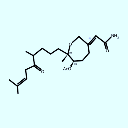 CC(=O)O[C@@H]1CC/C(=C\C(N)=O)CO[C@@]1(C)CCCC(C)C(=O)CC=C(C)C